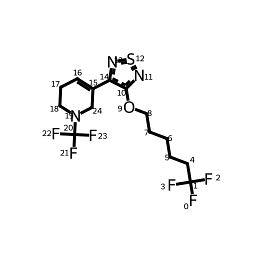 FC(F)(F)CCCCCOc1nsnc1C1=CCCN(C(F)(F)F)C1